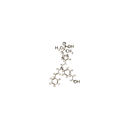 CC(C)(Sc1nc(CCN(CC=Cc2ccccc2)c2ccc(CCO)cc2)cs1)C(=O)O